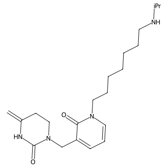 C=C1CCN(Cc2cccn(CCCCCCCNC(C)C)c2=O)C(=O)N1